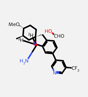 O=CO.[2H]C1([2H])OC(N)=N[C@]12c1cc(-c3cncc(C(F)(F)F)c3)ccc1C[C@]21CC[C@@H](OC)[C@H](C)C1